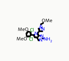 COCCn1cc(-c2nc(-c3c(Cl)c(OC)cc(OC)c3Cl)cc3cnc(N)nc23)cn1